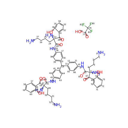 NCCCC[C@@](N)(C(=O)Nc1ccc(C(c2ccc(NC(=O)[C@](N)(CCCCN)C(=O)c3ccccc3O)cc2)c2ccc(NC(=O)[C@](N)(CCCCN)C(=O)c3ccccc3O)cc2)cc1)C(=O)c1ccccc1O.O=C(O)C(F)(F)F